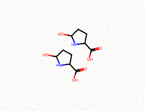 O=C(O)C1CCC(O)N1.O=C(O)C1CCC(O)N1